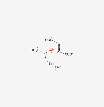 O=C(O)CC(O)C(=O)O.O=C([O-])C=CC(=O)[O-].[Ca+2]